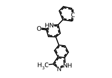 Cc1n[nH]c2ccc(-c3cc(-c4ccccc4)[nH]c(=O)c3)cc12